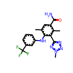 Cc1cc(C(N)=O)c(C)c(-c2nnn(C)n2)c1Nc1cccc(C(F)(F)F)c1